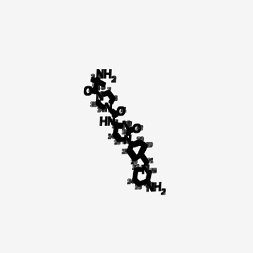 CC(C)(N)C(=O)N1CCN(C(=O)Nc2ccn(-c3ccc(CN4CCC[C@H](N)C4)cc3)c(=O)n2)CC1